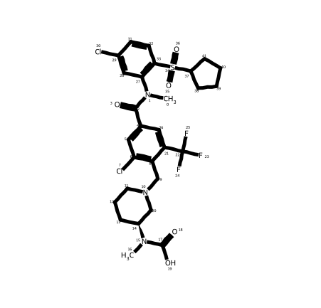 CN(C(=O)c1cc(Cl)c(CN2CCC[C@H](N(C)C(=O)O)C2)c(C(F)(F)F)c1)c1cc(Cl)ccc1S(=O)(=O)C1CCCC1